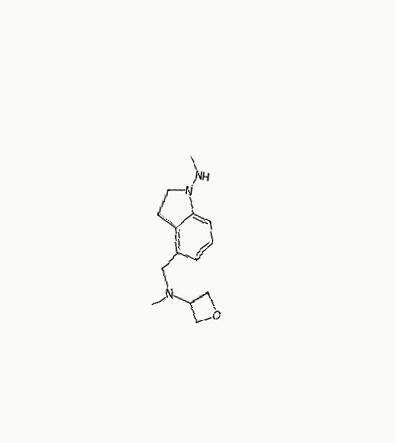 CNN1CCc2c(CN(C)C3COC3)cccc21